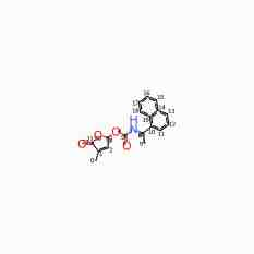 CC1=C[C@H](OC(=O)N[C@H](C)c2cccc3ccccc23)OC1=O